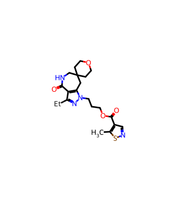 CCc1nn(CCCOC(=O)c2cnsc2C)c2c1C(=O)NCC1(CCOCC1)C2